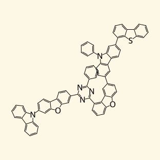 c1ccc(-c2nc(-c3ccc4c(c3)oc3cc(-n5c6ccccc6c6ccccc65)ccc34)nc(-c3cccc4oc5ccc(-c6ccc7c(c6)c6ccc(-c8cccc9c8sc8ccccc89)cc6n7-c6ccccc6)cc5c34)n2)cc1